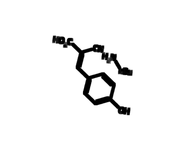 CCCCN.N#C/C(=C\c1ccc(O)cc1)C(=O)O